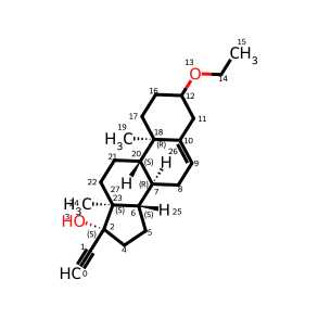 C#C[C@]1(O)CC[C@H]2[C@@H]3CC=C4CC(OCC)CC[C@]4(C)[C@H]3CC[C@@]21C